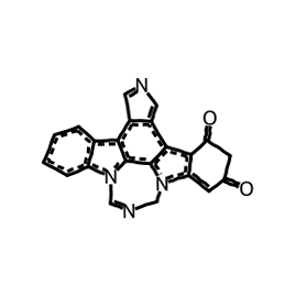 O=C1C=c2c(c3c4c(c5c6ccccc6n6c5c3n2CN=C6)C=NC=4)C(=O)C1